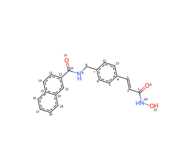 O=C(C=Cc1ccc(CNC(=O)c2ccc3ccccc3c2)cc1)NO